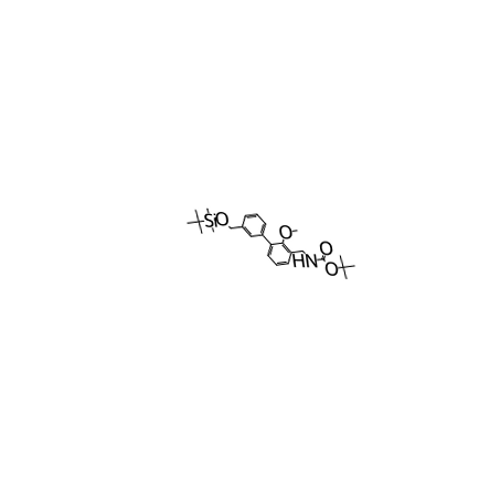 COc1c(CNC(=O)OC(C)(C)C)cccc1-c1cccc(CO[Si](C)(C)C(C)(C)C)c1